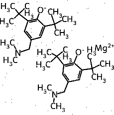 CN(C)Cc1cc(C(C)(C)C)c([O-])c(C(C)(C)C)c1.CN(C)Cc1cc(C(C)(C)C)c([O-])c(C(C)(C)C)c1.[Mg+2]